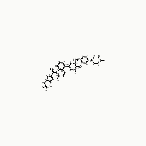 CN1CCN(c2ccc(Nc3cc(-c4cccc(N5CCn6c(cc7c6CC(C)(C)C7)C5=O)c4CO)cn(C)c3=O)nc2)CC1